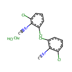 Cl.Cl.[C-]#[N+]c1c(Cl)cccc1Cl.[C-]#[N+]c1c(Cl)cccc1Cl